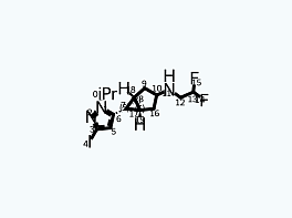 CC(C)n1nc(I)cc1[C@@H]1[C@@H]2CC(NCC(F)F)C[C@@H]21